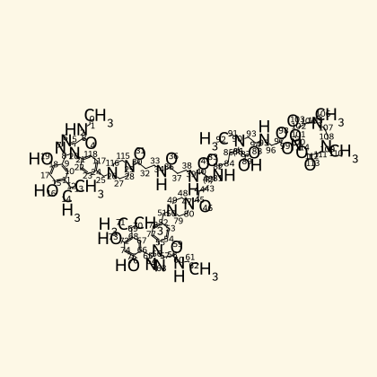 CCNC(=O)c1nnc(-c2cc(C(C)C)c(O)cc2O)n1-c1ccc(CN2CCN(C(=O)CCNC(=O)CCNC(=O)[C@@H](CCC(=O)N3CCN(Cc4ccc(-n5c(C(=O)NCC)nnc5-c5cc(C(C)C)c(O)cc5O)cc4)CC3)NC(=O)CC[C@H](C(=O)O)N(CC)CCNCC(=O)ON3OC(=O)CN(C)CCN(C)CC(=O)O3)CC2)cc1